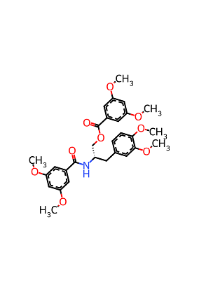 COc1cc(OC)cc(C(=O)N[C@H](COC(=O)c2cc(OC)cc(OC)c2)Cc2ccc(OC)c(OC)c2)c1